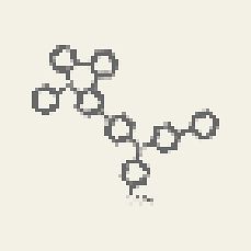 COc1ccc(N(c2ccc(-c3ccccc3)cc2)c2ccc(-c3ccc4c(c3)-c3ccccc3-c3ccccc3N4c3ccccc3)cc2)cc1